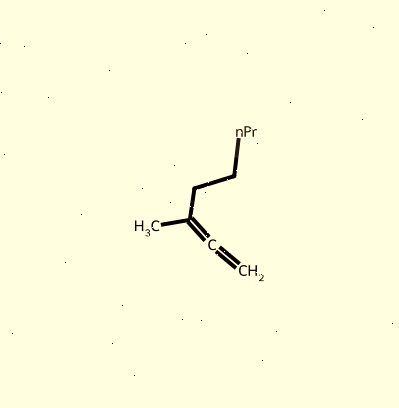 C=C=C(C)CCCCC